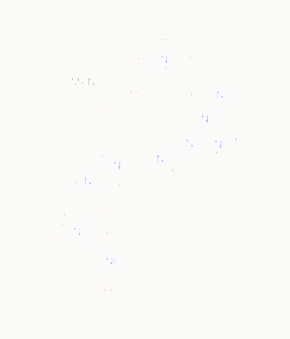 CNC(=O)COc1cc2cc(Nc3nc(N4CCN(CCN5CCN(c6cccc7c6C(=O)N(C6CCC(=O)NC6=O)C7=O)CC5)CC4)ncc3Cl)ccc2n(C)c1=O